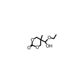 CCOC(O)C1(C)COC(=O)OC1